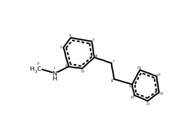 CNc1cccc(C[CH]c2ccccc2)c1